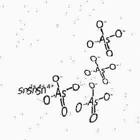 O=[As]([O-])([O-])[O-].O=[As]([O-])([O-])[O-].O=[As]([O-])([O-])[O-].O=[As]([O-])([O-])[O-].[Sn+4].[Sn+4].[Sn+4]